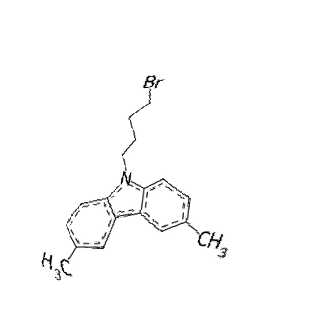 Cc1ccc2c(c1)c1cc(C)ccc1n2CCCCBr